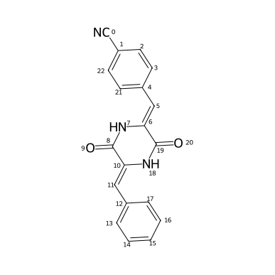 N#Cc1ccc(C=c2[nH]c(=O)c(=Cc3ccccc3)[nH]c2=O)cc1